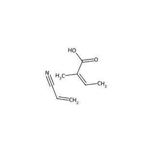 C=CC#N.CC=C(C)C(=O)O